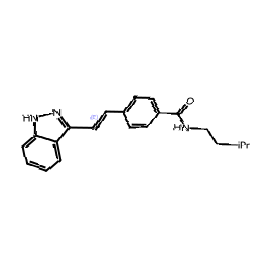 CC(C)CCNC(=O)c1ccc(/C=C/c2n[nH]c3ccccc23)cc1